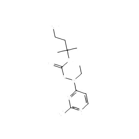 CC(=O)NCCC(C)(C)OC(=O)NN(CC(C)C)c1ccnc(C#N)n1